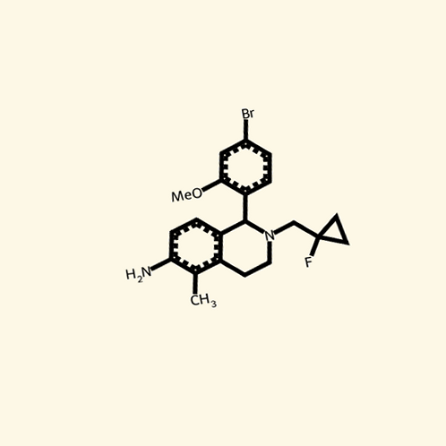 COc1cc(Br)ccc1C1c2ccc(N)c(C)c2CCN1CC1(F)CC1